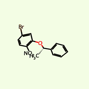 C[C@H](Oc1cc(Br)ccc1[N+](=O)[O-])c1ccccc1